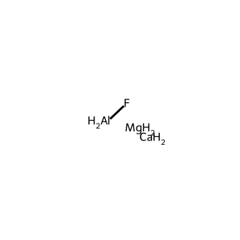 [CaH2].[F][AlH2].[MgH2]